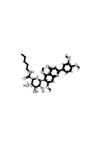 CCCCCNC(=O)[C@H]1O[C@@H](c2c(OC)cc3oc(-c4ccc(OC)c(OC)c4)cc(=O)c3c2OC)[C@H](O)[C@@H](O)[C@@H]1O